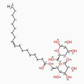 CCCCCCCC/C=C\CCCCCCCC(=O)OC[C@H]1O[C@@H](O[C@H]2[C@H](O)[C@@H](O)[C@H](O)O[C@@H]2CO)[C@H](O)[C@@H](O)[C@@H]1O